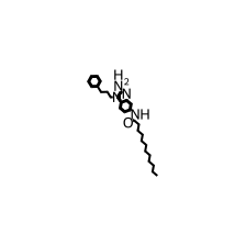 CCCCCCCCCCCC(=O)Nc1ccc2c(c1)nc(N)n2CCCc1ccccc1